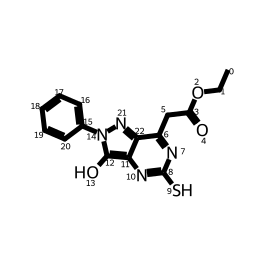 CCOC(=O)Cc1nc(S)nc2c(O)n(-c3ccccc3)nc12